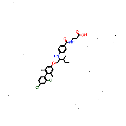 CCC(C)C(COc1cc(C)c(-c2ccc(Cl)cc2Cl)c(C)c1)Nc1ccc(C(=O)NCCC(=O)O)cc1